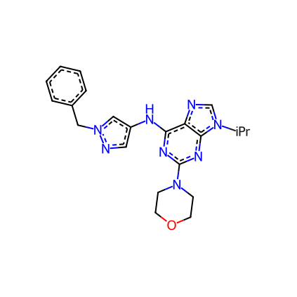 CC(C)n1cnc2c(Nc3cnn(Cc4ccccc4)c3)nc(N3CCOCC3)nc21